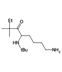 CCC(C)(C)C(=O)C(CCCCN)NC(C)(C)C